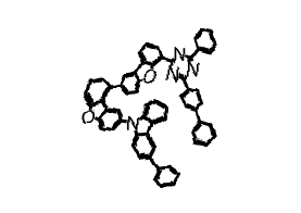 c1ccc(-c2ccc(-c3nc(-c4ccccc4)nc(-c4cccc5c4oc4ccc(-c6cccc7oc8ccc(-n9c%10ccccc%10c%10cc(-c%11ccccc%11)ccc%109)cc8c67)cc45)n3)cc2)cc1